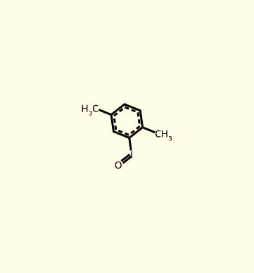 Cc1ccc(C)c(I=O)c1